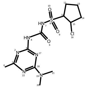 Cc1nc(NC(=O)NS(=O)(=O)C2CCCC2Cl)nc(N(C)C)n1